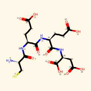 N[C@@H](CS)C(=O)N[C@@H](CCC(=O)O)C(=O)N[C@@H](CCC(=O)O)C(=O)N[C@@H](CC(=O)O)C(=O)O